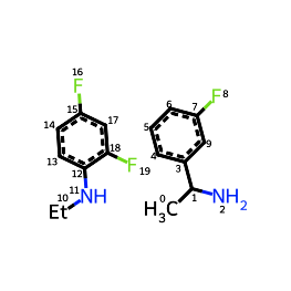 CC(N)c1cccc(F)c1.CCNc1ccc(F)cc1F